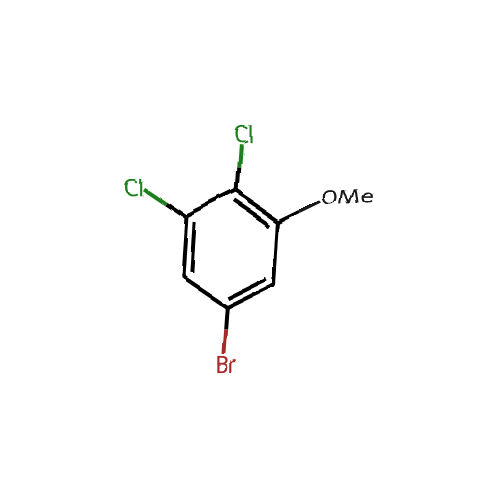 COc1cc(Br)cc(Cl)c1Cl